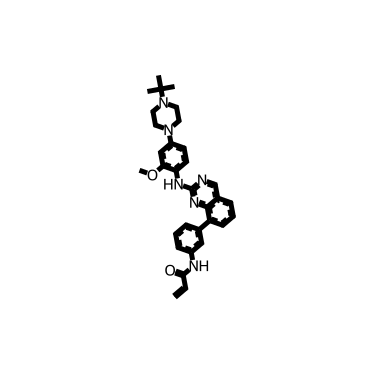 C=CC(=O)Nc1cccc(-c2cccc3cnc(Nc4ccc(N5CCN(C(C)(C)C)CC5)cc4OC)nc23)c1